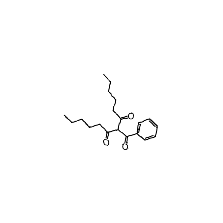 CCCCCC(=O)C(C(=O)CCCCC)C(=O)c1ccccc1